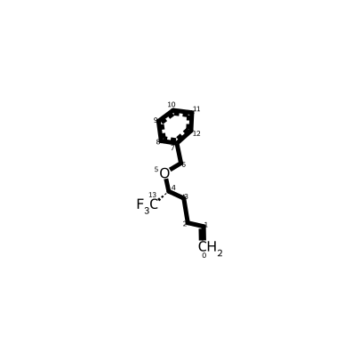 C=CC[CH][C@@H](OCc1ccccc1)C(F)(F)F